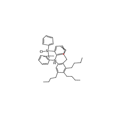 CCCCc1cc([SiH](c2ccccc2)c2ccccc2[Si](Cl)(c2ccccc2)C(C)(C)C)c(CCCC)c(CCCC)c1CCCC